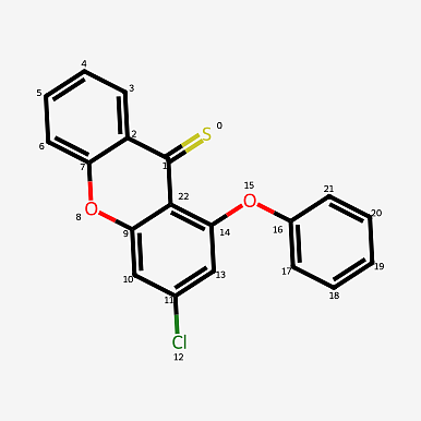 S=c1c2ccccc2oc2cc(Cl)cc(Oc3ccccc3)c12